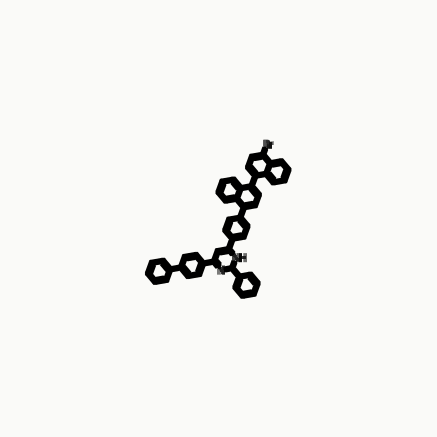 Brc1ccc(-c2ccc(-c3ccc(C4=CC(c5ccc(-c6ccccc6)cc5)=NC(c5ccccc5)N4)cc3)c3ccccc23)c2ccccc12